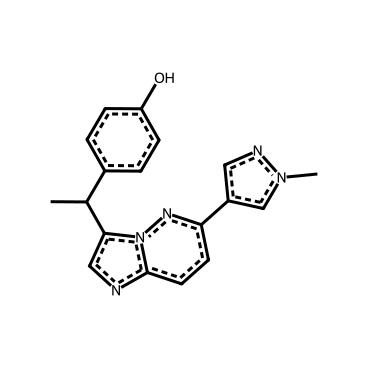 CC(c1ccc(O)cc1)c1cnc2ccc(-c3cnn(C)c3)nn12